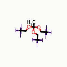 CC(OCC(I)(I)I)(OCC(I)(I)I)OCC(I)(I)I